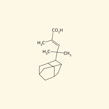 CC(=CC(C)(C)C1C2CC3CC(C2)CC1C3)C(=O)O